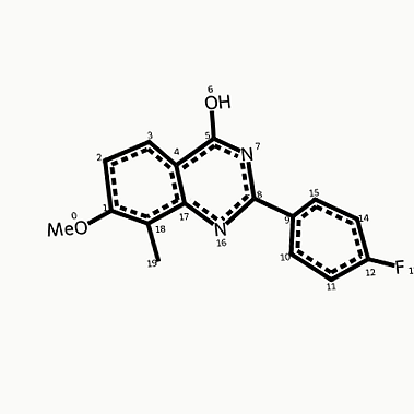 COc1ccc2c(O)nc(-c3ccc(F)cc3)nc2c1C